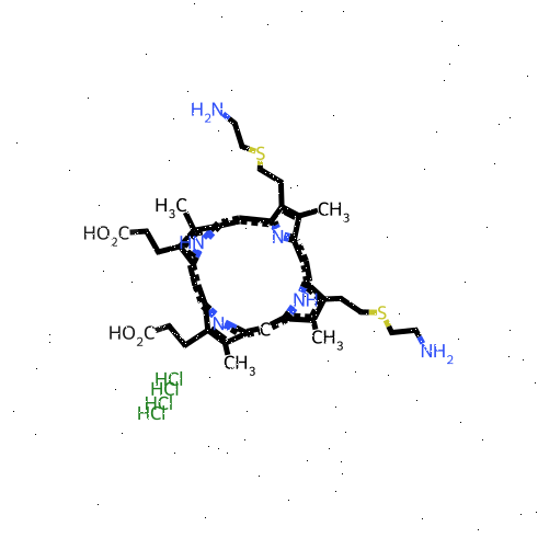 CC1=C(CCSCCN)c2cc3[nH]c(cc4nc(cc5[nH]c(cc1n2)c(CCSCCN)c5C)C(C)=C4CCC(=O)O)c(CCC(=O)O)c3C.Cl.Cl.Cl.Cl